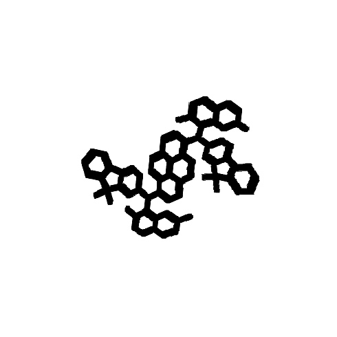 Cc1ccc2ccc(C)c(N(c3ccc4c(c3)C(C)(C)c3ccccc3-4)c3ccc4ccc5c(N(c6ccc7c(c6)C(C)(C)c6ccccc6-7)c6c(C)ccc7ccc(C)cc67)ccc6ccc3c4c65)c2c1